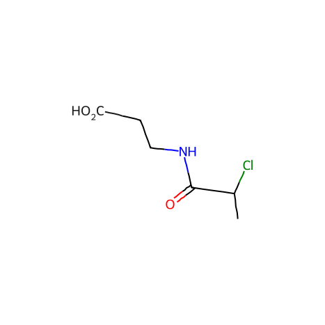 CC(Cl)C(=O)NCCC(=O)O